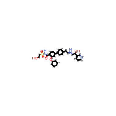 O=C(NS(=O)(=O)CCO)c1ccc(-c2ccc(CCNC[C@@H](O)c3cccnc3)cc2)cc1OC1CCCCC1